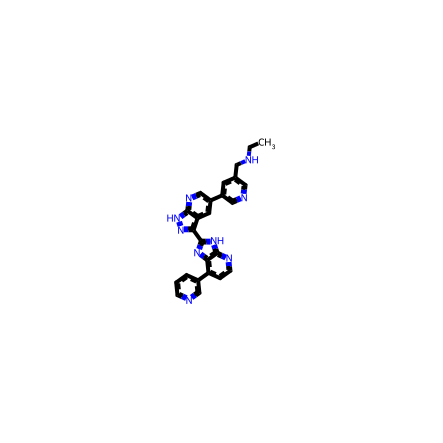 CCNCc1cncc(-c2cnc3[nH]nc(-c4nc5c(-c6cccnc6)ccnc5[nH]4)c3c2)c1